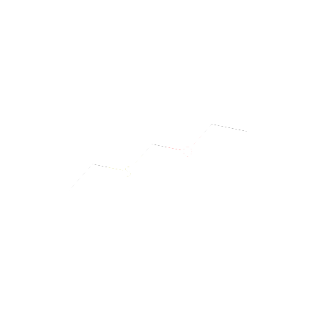 C[CH]SCOCC